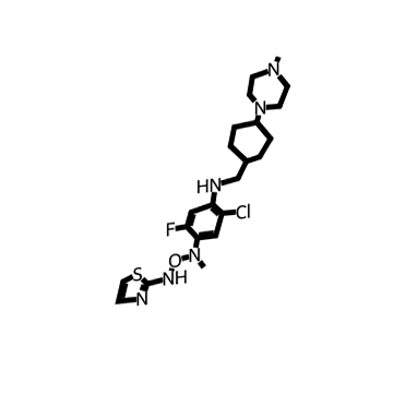 CN1CCN(C2CCC(CNc3cc(F)c(N(C)ONc4nccs4)cc3Cl)CC2)CC1